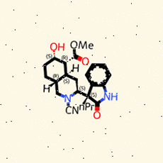 CCC[C@]1([C@@H]2C[C@H]3[C@@H](CC[C@H](O)[C@@H]3C(=O)OC)CN2C#N)C(=O)Nc2ccccc21